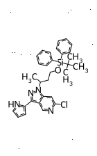 CC(CCO[Si](c1ccccc1)(c1ccccc1)C(C)(C)C)n1nc(-c2ccc[nH]2)c2cnc(Cl)cc21